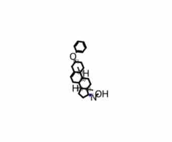 C[C@]12CC[C@H](Oc3ccccc3)CC1=CCC1[C@@H]2CC[C@]2(C)/C(=N\O)CC[C@@H]12